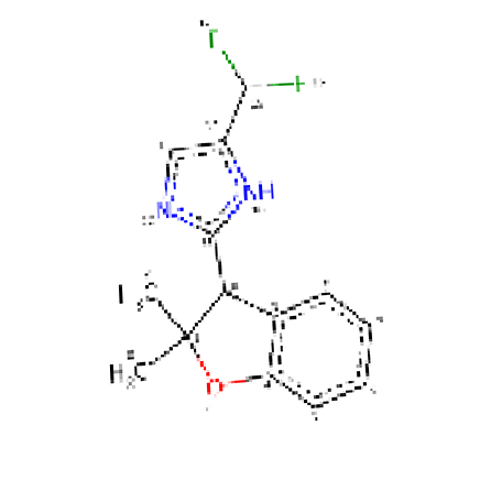 CC1(C)Oc2ccccc2C1c1ncc(C(F)F)[nH]1